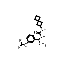 C[C@H](NC(=O)NC1CC2(CCC2)C1)c1cccc(OC(F)F)c1